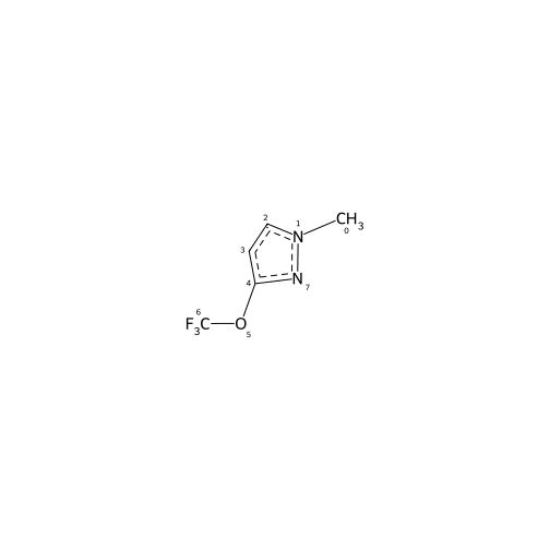 Cn1[c]cc(OC(F)(F)F)n1